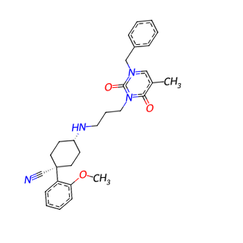 COc1ccccc1[C@]1(C#N)CC[C@@H](NCCCn2c(=O)c(C)cn(Cc3ccccc3)c2=O)CC1